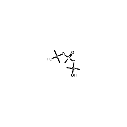 C[Si](C)(O)OP(C)(=O)O[Si](C)(C)O